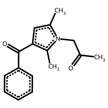 CC(=O)Cn1c(C)cc(C(=O)c2ccccc2)c1C